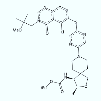 COC(C)(C)Cn1cnc2ccc(Sc3cnc(N4CCC5(CC4)CO[C@@H](C)[C@H]5NC(=O)OC(C)(C)C)cn3)c(Cl)c2c1=O